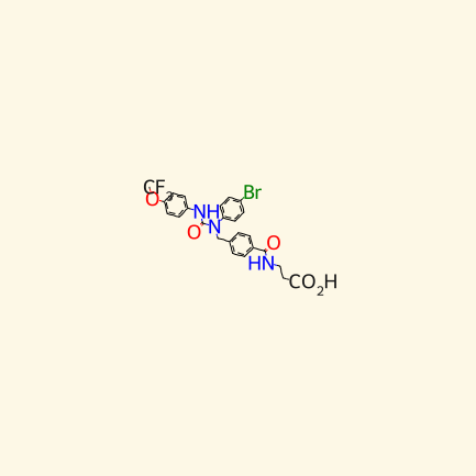 O=C(O)CCNC(=O)c1ccc(CN(C(=O)Nc2ccc(OC(F)(F)F)cc2)c2ccc(Br)cc2)cc1